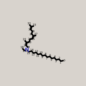 CCCCCCCCCCCCCCCCN(CC)CC=C(C)CCC=C(C)CCC=C(C)C